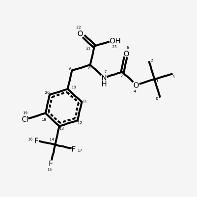 CC(C)(C)OC(=O)NC(Cc1ccc(C(F)(F)F)c(Cl)c1)C(=O)O